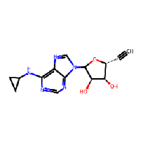 C#C[C@H]1OC(n2cnc3c(NC4CC4)ncnc32)[C@H](O)[C@@H]1O